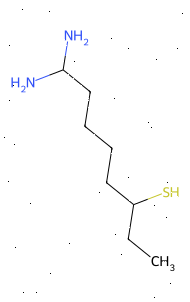 CCC(S)CCCCC(N)N